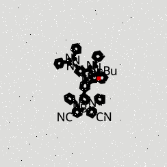 CCCCc1ccc2c3cc(-c4cc5c6c(c4)N(c4ccccc4)c4cc(C#N)ccc4B6c4ccc(C#N)cc4N5c4ccccc4)ccc3n(-c3ccc(-c4nc(-c5ccccc5)nc(-c5ccccc5)n4)cc3-c3nc(-c4ccccc4)nc(-c4ccccc4)n3)c2c1